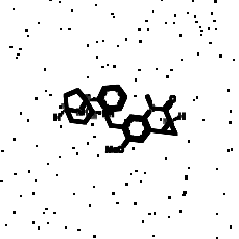 COc1cc2c(cc1CN[C@@H]1CC[C@H]3CC[C@]1(c1ccccc1)N3)N(C)C(=O)[C@H]1CC21